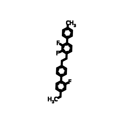 CCc1ccc(-c2ccc(CCc3ccc(-c4ccc(C)cc4)c(F)c3F)cc2)c(F)c1